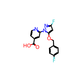 O=C(O)c1ccnc(-n2nc(F)cc2OCc2ccc(F)cc2)c1